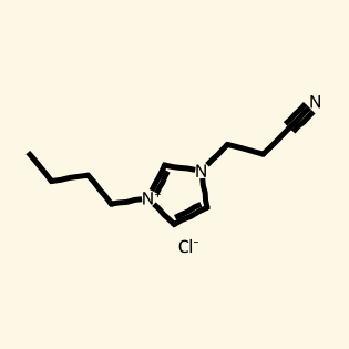 CCCC[n+]1ccn(CCC#N)c1.[Cl-]